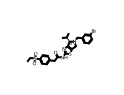 CCS(=O)(=O)c1ccc(CC(=O)Nc2nc3c(s2)CN(Cc2cccc(Br)c2)[C@@H]3C(C)C)cc1